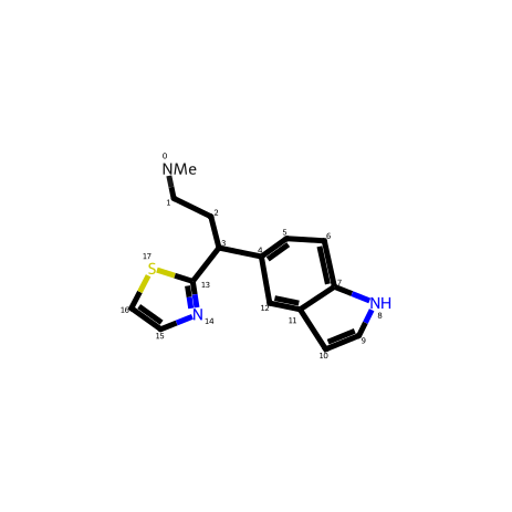 CNCCC(c1ccc2[nH]ccc2c1)c1nccs1